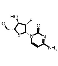 Nc1ccn([C@@H]2S[C@H](C[O])[C@@H](O)[C@@H]2F)c(=O)n1